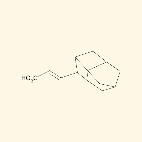 O=C(O)C=CC1C2CC3CC(C2)CC1C3